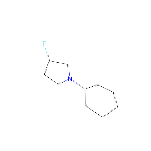 FC1CCN(C2CCCCC2)C1